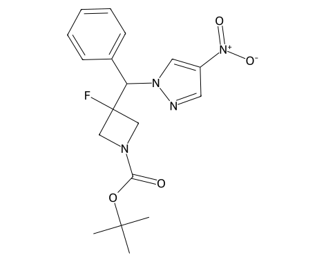 CC(C)(C)OC(=O)N1CC(F)(C(c2ccccc2)n2cc([N+](=O)[O-])cn2)C1